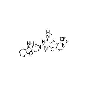 Cn1c(N2CCC3(CC2)Oc2ccccc2[C@H]3N)nc(N)c(Sc2cccnc2C(F)(F)F)c1=O